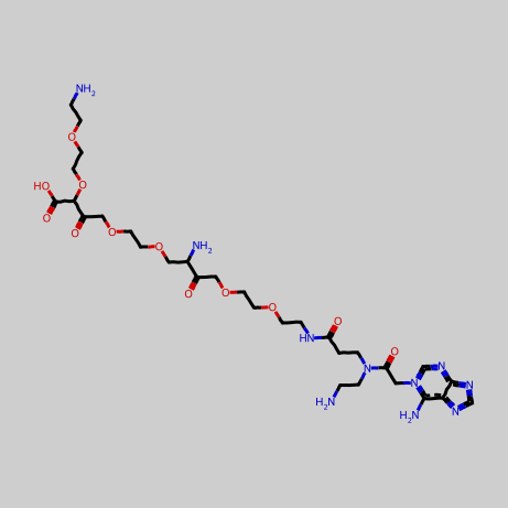 NCCOCCOC(C(=O)O)C(=O)COCCOCC(N)C(=O)COCCOCCNC(=O)CCN(CCN)C(=O)Cn1cnc2ncnc-2c1N